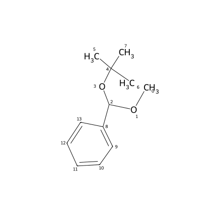 COC(OC(C)(C)C)c1ccccc1